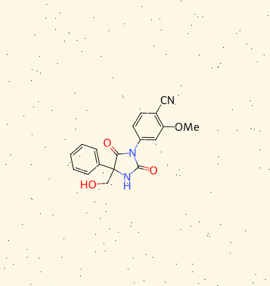 COc1cc(N2C(=O)NC(CO)(c3ccccc3)C2=O)ccc1C#N